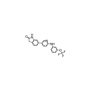 O=C1Cc2ccc(-c3ccc(Nc4cccc(OC(F)(F)F)c4)nc3)cc2N1